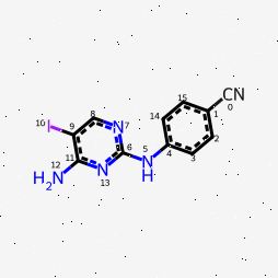 N#Cc1ccc(Nc2ncc(I)c(N)n2)cc1